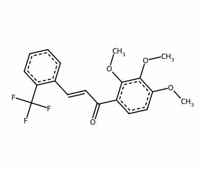 COc1ccc(C(=O)C=Cc2ccccc2C(F)(F)F)c(OC)c1OC